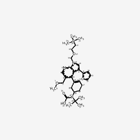 COCc1cnc2c(c(-c3ccco3)cn2COCC[Si](C)(C)C)c1C1=CCCC(N(C(=O)O)C(C)(C)C)C1